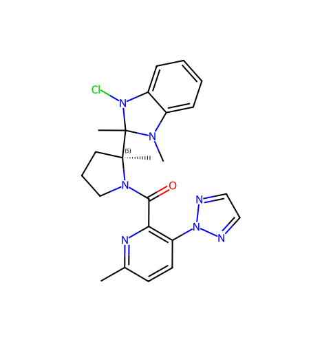 Cc1ccc(-n2nccn2)c(C(=O)N2CCC[C@@]2(C)C2(C)N(C)c3ccccc3N2Cl)n1